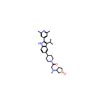 Cc1cc(-c2[nH]c3ccc(C4CCN(C(=O)CN(C)C5CC[S+]([O-])C5)CC4)cc3c2C(C)C)cc(C)n1